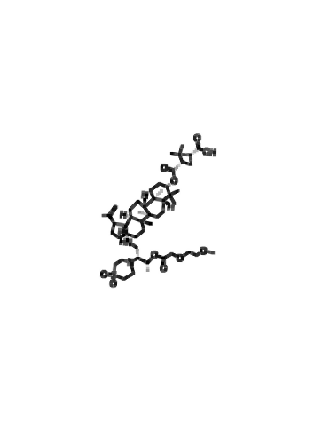 C=C(C)[C@@H]1CC[C@]2(NC[C@H]([C@@H](C)OC(=O)COCCOC)N3CCS(=O)(=O)CC3)CC[C@]3(C)[C@H](CC[C@@H]4[C@@]5(C)CC[C@H](OC(=O)[C@H]6C[C@@H](C(=O)O)C6(C)C)C(C)(C)[C@@H]5CC[C@]43C)[C@@H]12